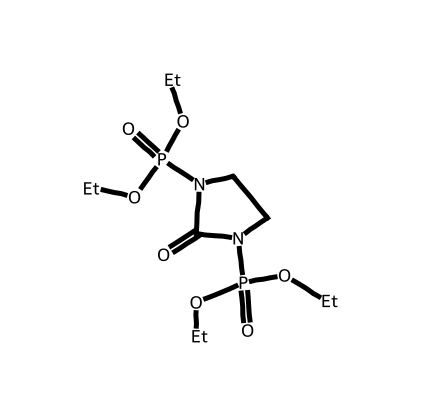 CCOP(=O)(OCC)N1CCN(P(=O)(OCC)OCC)C1=O